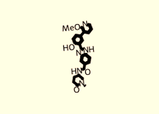 COc1ncccc1-c1ccc(O)c(-c2nc3cc(C(=O)NC4CCC(=O)N(C)C4)ccc3[nH]2)c1